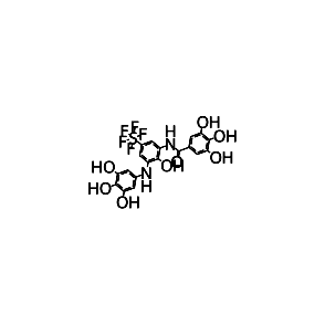 O=C(Nc1cc(S(F)(F)(F)(F)F)cc(Nc2cc(O)c(O)c(O)c2)c1O)c1cc(O)c(O)c(O)c1